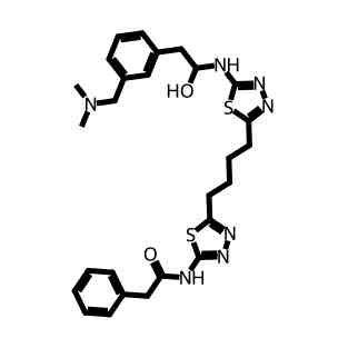 CN(C)Cc1cccc(CC(O)Nc2nnc(CCCCc3nnc(NC(=O)Cc4ccccc4)s3)s2)c1